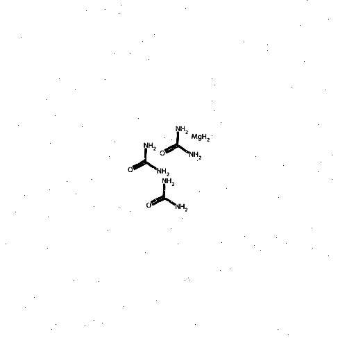 NC(N)=O.NC(N)=O.NC(N)=O.[MgH2]